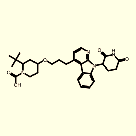 CC(C)(C)C1CC(OCCCc2ccnc3c2c2ccccc2n3C2CCC(=O)NC2=O)CCN1C(=O)O